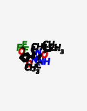 CCc1nc(OC(CC)CC)c(NC)nc1-c1cc(OC(F)(F)F)ccc1OC